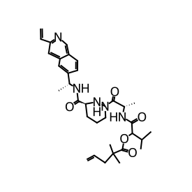 C=CCC(C)(C)C(=O)OC(C(=O)N[C@@H](C)C(=O)N1CCC[C@@H](C(=O)N[C@H](C)c2ccc3cnc(C=C)cc3c2)N1)C(C)C